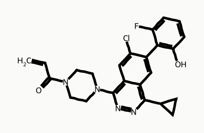 C=CC(=O)N1CCN(c2nnc(C3CC3)c3cc(-c4c(O)cccc4F)c(Cl)cc23)CC1